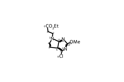 CCOC(=O)CCn1ccc2c(Cl)nc(OC)nc21